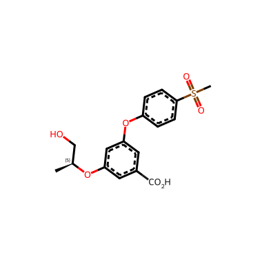 C[C@@H](CO)Oc1cc(Oc2ccc(S(C)(=O)=O)cc2)cc(C(=O)O)c1